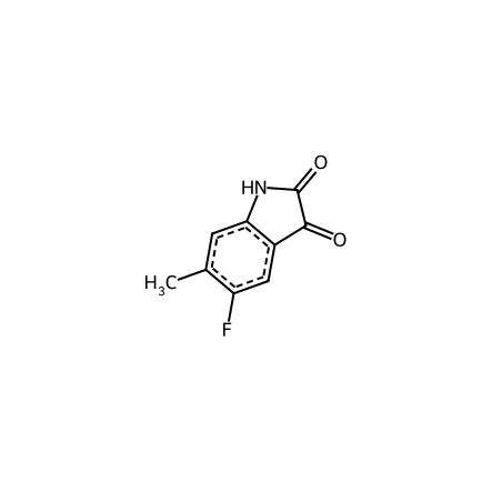 Cc1cc2c(cc1F)C(=O)C(=O)N2